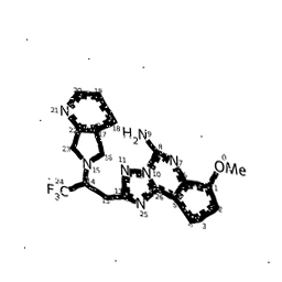 COc1cccc2c1nc(N)n1nc(CC(N3Cc4cccnc4C3)C(F)(F)F)nc21